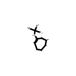 FC(F)(F)SC1=CCCCCC1